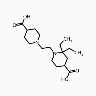 CCC1(CC)CC(C(=O)O)CCN1CCN1CCC(C(=O)O)CC1